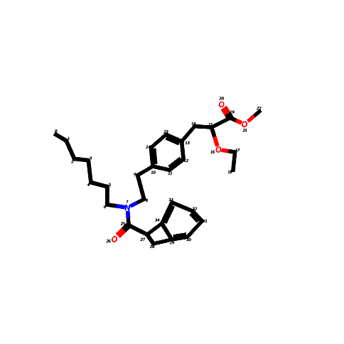 CCCCCCCN(CCc1ccc(CC(OCC)C(=O)OC)cc1)C(=O)C1Cc2ccccc21